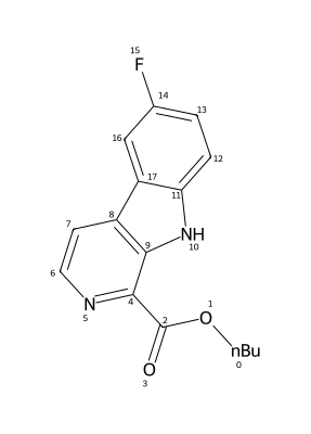 CCCCOC(=O)c1nccc2c1[nH]c1ccc(F)cc12